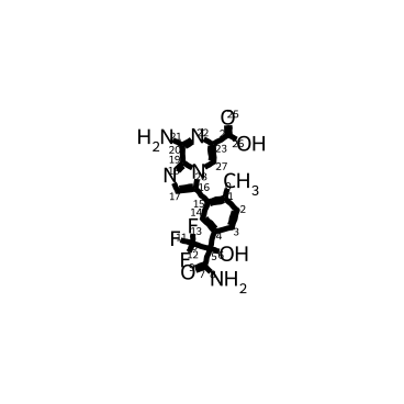 Cc1ccc(C(O)(C(N)=O)C(F)(F)F)cc1-c1cnc2c(N)nc(C(=O)O)cn12